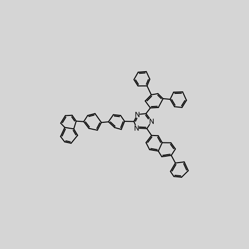 c1ccc(-c2cc(-c3ccccc3)cc(-c3nc(-c4ccc(-c5ccc(-c6cccc7ccccc67)cc5)cc4)nc(-c4ccc5cc(-c6ccccc6)ccc5c4)n3)c2)cc1